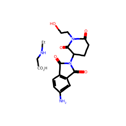 CCNCC(=O)O.Nc1ccc2c(c1)C(=O)N(C1CCC(=O)N(CCO)C1=O)C2=O